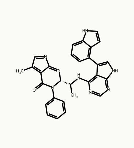 CC1=C2C(=O)N(c3ccccc3)[C@@H](C(C)Nc3ncnc4[nH]cc(-c5cccc6[nH]ccc56)c34)N=C2N=C1